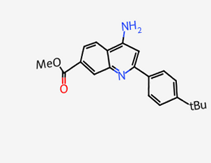 COC(=O)c1ccc2c(N)cc(-c3ccc(C(C)(C)C)cc3)nc2c1